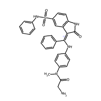 CN(C(=O)CN)c1ccc(N/C(=C2\C(=O)Nc3ccc(S(=O)(=O)Nc4ccccc4)cc32)c2ccccc2)cc1